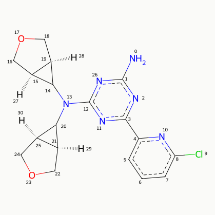 Nc1nc(-c2cccc(Cl)n2)nc(N(C2[C@H]3COC[C@@H]23)C2[C@H]3COC[C@@H]23)n1